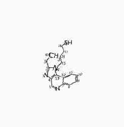 CCc1nc2cnc3ccccc3c2n1CCCCS